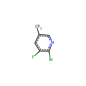 Fc1cc(C(F)(F)F)cnc1Br